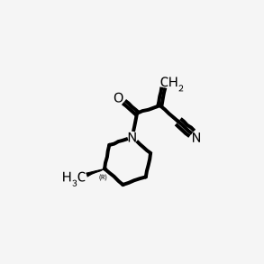 C=C(C#N)C(=O)N1CCC[C@@H](C)C1